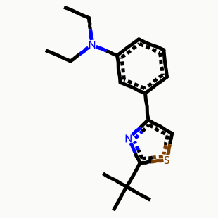 CCN(CC)c1cccc(-c2csc(C(C)(C)C)n2)c1